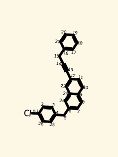 Clc1ccc(Cc2ccc3ccc(C#CCc4ccccc4)cc3c2)cc1